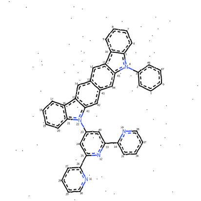 c1ccc(-n2c3ccccc3c3cc4cc5c6ccccc6n(-c6cc(-c7ccccn7)nc(-c7ccccn7)c6)c5cc4cc32)cc1